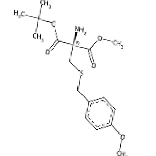 COC(=O)[C@](N)(CSCc1ccc(OC)cc1)C(=O)OC(C)(C)C